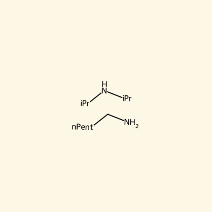 CC(C)NC(C)C.CCCCCCN